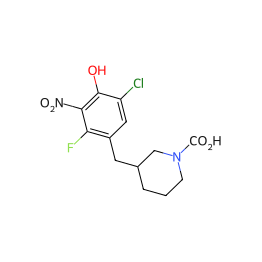 O=C(O)N1CCCC(Cc2cc(Cl)c(O)c([N+](=O)[O-])c2F)C1